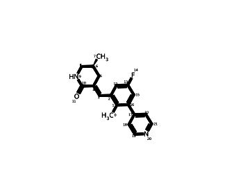 Cc1c(/C=C2\C[C@H](C)CNC2=O)cc(F)cc1-c1ccncc1